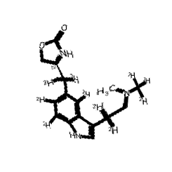 [2H]c1c(C([2H])([2H])[C@H]2COC(=O)N2)c([2H])c2c(C([2H])([2H])CN(C)C([2H])([2H])[2H])c[nH]c2c1[2H]